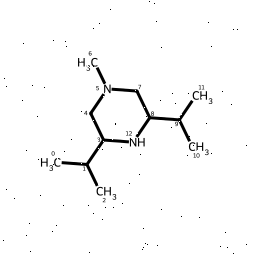 CC(C)C1CN(C)CC(C(C)C)N1